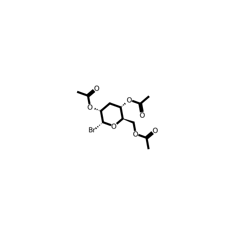 CC(=O)OC[C@H]1O[C@H](Br)[C@H](OC(C)=O)C[C@@H]1OC(C)=O